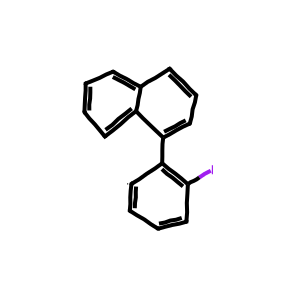 Ic1ccc[c]c1-c1cccc2ccccc12